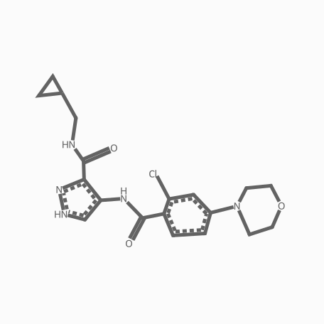 O=C(Nc1c[nH]nc1C(=O)NCC1CC1)c1ccc(N2CCOCC2)cc1Cl